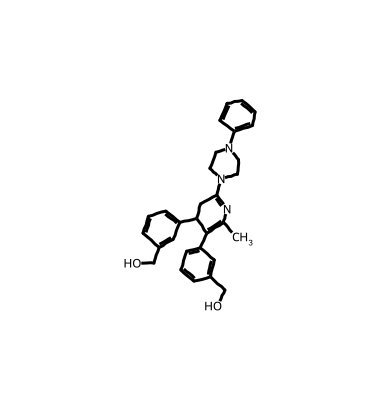 CC1=C(c2cccc(CO)c2)C(c2cccc(CO)c2)CC(N2CCN(c3ccccc3)CC2)=N1